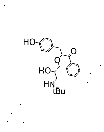 CC(C)(C)NCC(O)COC(Cc1ccc(O)cc1)C(=O)c1ccccc1